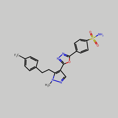 Cn1ncc(-c2nnc(-c3ccc(S(N)(=O)=O)cc3)o2)c1CCc1ccc(C(F)(F)F)cc1